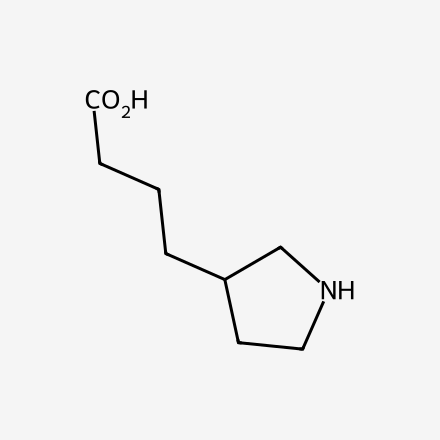 O=C(O)CCCC1CCNC1